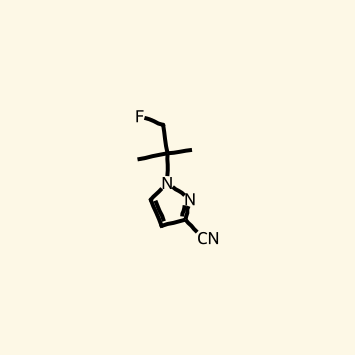 CC(C)(CF)n1ccc(C#N)n1